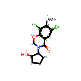 COc1c(Br)cc2c(c1F)OCN(C1CCCC1O)C2=O